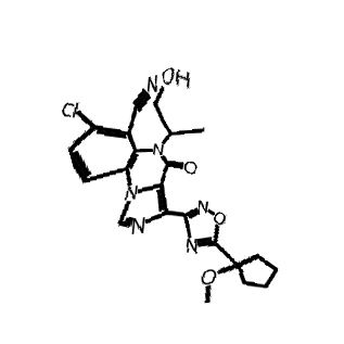 COC1(c2nc(-c3ncn4c3c(=O)n(C(C)CO)c3c(C#N)c(Cl)ccc34)no2)CCCC1